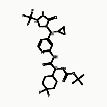 CC(C)(C)OC(=O)N[C@H](C(=O)Nc1cc([C@@H](C2CC2)N2C[C@@H](C(F)(F)F)NC2=O)ccn1)C1CCC(F)(F)CC1